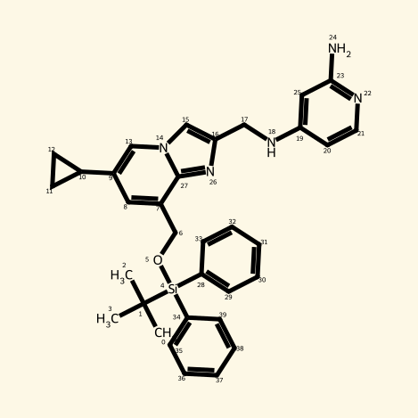 CC(C)(C)[Si](OCc1cc(C2CC2)cn2cc(CNc3ccnc(N)c3)nc12)(c1ccccc1)c1ccccc1